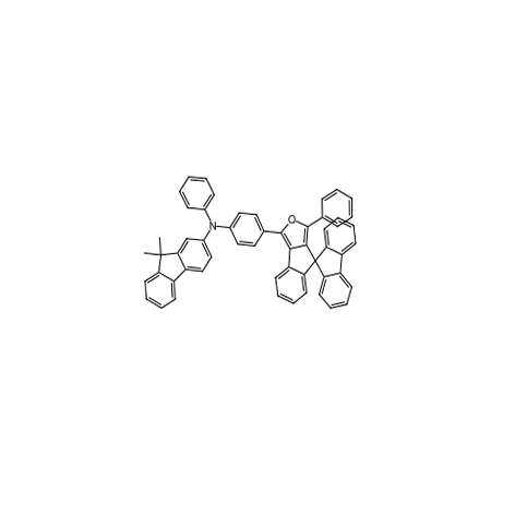 CC1(C)c2ccccc2-c2ccc(N(c3ccccc3)c3ccc(-c4oc(-c5ccccc5)c5c4-c4ccccc4C54c5ccccc5-c5ccccc54)cc3)cc21